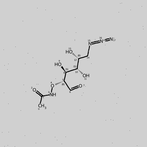 CC(=O)NO[C@@H](C=O)[C@@H](O)[C@@H](O)[C@H](O)CN=[N+]=[N-]